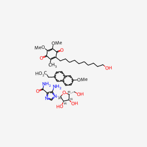 COC1=C(OC)C(=O)C(CCCCCCCCCCO)=C(C)C1=O.COc1ccc2cc(CC(=O)O)ccc2c1.NC(=O)c1ncn([C@@H]2O[C@H](CO)[C@@H](O)[C@H]2O)c1N